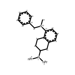 CCCN(CCC)C1CCc2c(cccc2N(C)Cc2ccccc2)C1